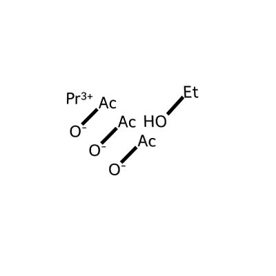 CC(=O)[O-].CC(=O)[O-].CC(=O)[O-].CCO.[Pr+3]